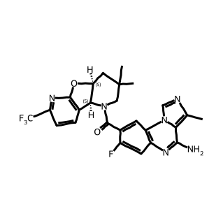 Cc1ncn2c1c(N)nc1cc(F)c(C(=O)N3CC(C)(C)C[C@@H]4Oc5nc(C(F)(F)F)ccc5[C@@H]43)cc12